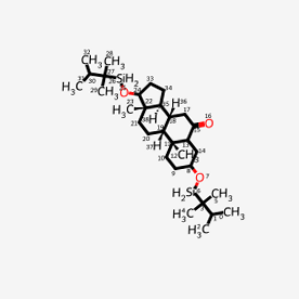 CC(C)C(C)(C)[SiH2]OC1CC[C@@]2(C)C(C1)C(=O)C[C@@H]1[C@H]2CC[C@]2(C)C(O[SiH2]C(C)(C)C(C)C)CC[C@@H]12